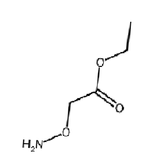 CCOC(=O)CON